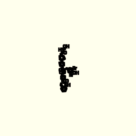 O=C(CN1CCC(C2CCN(C(=O)[C@@H](Cc3cc(Br)c(O)c(Br)c3)OC(=O)N3CCC(N4CCc5ccccc5NC4=O)CC3)CC2)CC1)NCO